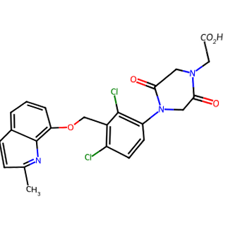 Cc1ccc2cccc(OCc3c(Cl)ccc(N4CC(=O)N(CC(=O)O)CC4=O)c3Cl)c2n1